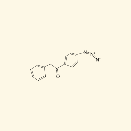 [N-]=[N+]=Nc1ccc(C(=O)Cc2ccccc2)cc1